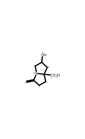 C=C1CCC2(C(=O)OCC)CC(O)CN12